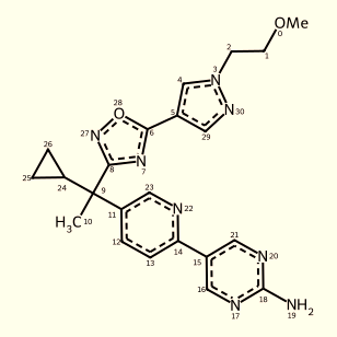 COCCn1cc(-c2nc(C(C)(c3ccc(-c4cnc(N)nc4)nc3)C3CC3)no2)cn1